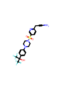 NC#CCc1ccc(S(=O)(=O)N2CCN(c3ccc(C(O)(C(F)(F)F)C(F)(F)F)cc3)CC2)cn1